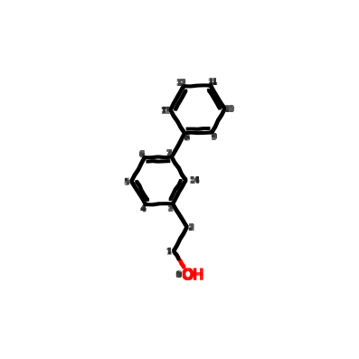 OCCc1cccc(-c2ccccc2)c1